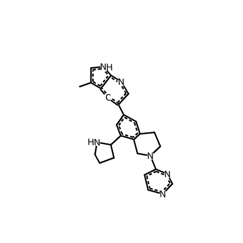 Cc1c[nH]c2ncc(-c3cc4c(c(C5CCCN5)c3)CN(c3ccncn3)CC4)cc12